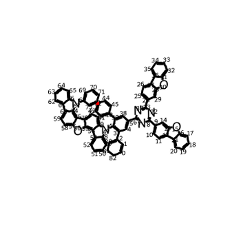 C1=CC(c2cc(-c3nc(-c4ccc5c(c4)oc4ccccc45)nc(-c4ccc5c(c4)oc4ccccc45)n3)cc(-c3ccccc3)c2-n2c3ccccc3c3c4oc5ccc6c7ccccc7n(-c7ccccc7)c6c5c4ccc32)=CCC1